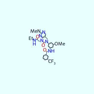 CCNC(=O)CN1C(=O)N(c2cc(NC(=O)c3cccc(C(F)(F)F)c3)cc(OC)c2)Cc2cnc(NC)nc21